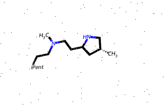 CCCC(C)CCN(C)CCC1C[C@@H](C)CN1